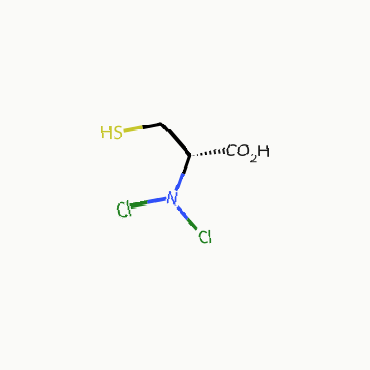 O=C(O)[C@@H](CS)N(Cl)Cl